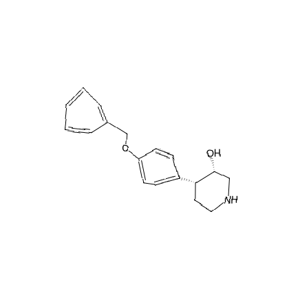 O[C@@H]1CNCC[C@@H]1c1ccc(OCc2ccccc2)cc1